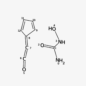 NC(=O)NO.O=C=C=C1C=CC=C1